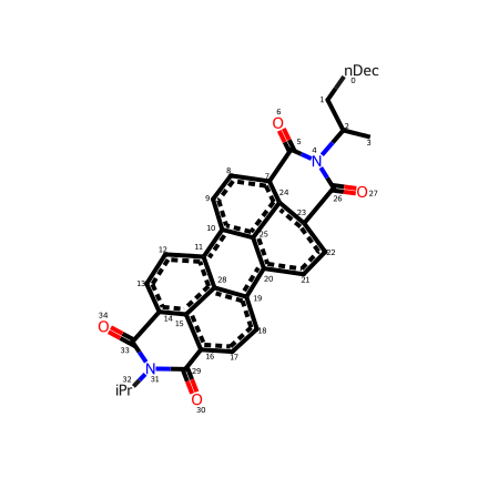 CCCCCCCCCCCC(C)N1C(=O)c2ccc3c4ccc5c6c(ccc(c7ccc(c2c37)C1=O)c64)C(=O)N(C(C)C)C5=O